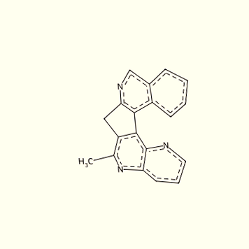 Cc1nc2cccnc2c2c1Cc1ncc3ccccc3c1-2